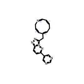 C1=C\C/C=C(Cc2nnc3ccc(-c4cncnc4)nn23)\C=C/C\N=C/1